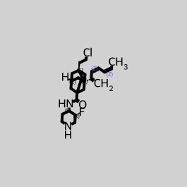 C=C(/C=C\C=C/C)[C@]12C[C@@H]3CC(C(=O)N[C@@H]4CCNC[C@H]4F)(C[C@](CCCl)(C3)C1)C2